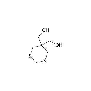 OCC1(CO)CSCSC1